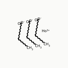 CCCCCCCC/C=C\CCCCCCCCCC(=O)[O-].CCCCCCCC/C=C\CCCCCCCCCC(=O)[O-].CCCCCCCC/C=C\CCCCCCCCCC(=O)[O-].[Ho+3]